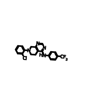 FC(F)(F)c1ccc(Nc2ncnc3c2CCN(c2ccccc2Cl)C3)cc1